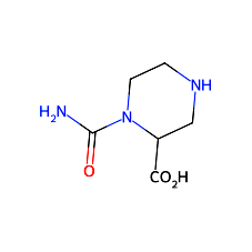 NC(=O)N1CCNCC1C(=O)O